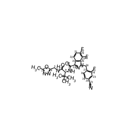 Cc1nnc(CNC(=O)[C@@H](NC(=O)c2nn(Cc3ccc(C#N)cc3F)c3c(F)c(F)ccc23)C(C)(C)C)o1